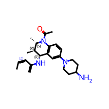 C=C(/C=C\C)N[C@H]1c2cc(N3CCC(N)CC3)ccc2N(C(C)=O)[C@@H](C)[C@@H]1C